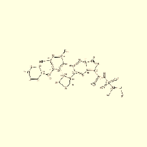 CCN(C)S(=O)(=O)NC(=O)c1cnn2ccc(N3CCC[C@@H]3c3cc(F)cc(F)c3OC3CCOCC3)cc12